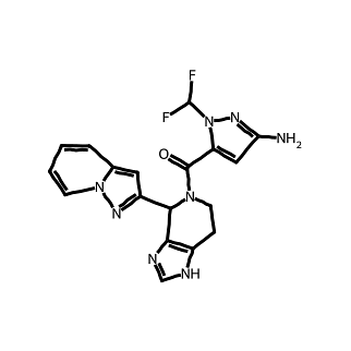 Nc1cc(C(=O)N2CCc3[nH]cnc3C2c2cc3ccccn3n2)n(C(F)F)n1